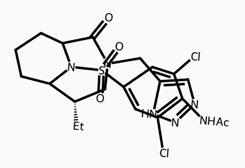 CC[C@H]1CN(Cc2cnn[nH]2)C(=O)C2CCCC1N2S(=O)(=O)c1cc(Cl)c(NC(C)=O)c(Cl)c1